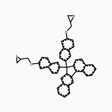 c1ccc2cc3c(cc2c1)-c1c(ccc2ccccc12)C3(c1ccc2cc(OCC3CS3)ccc2c1)c1ccc2cc(OCC3CS3)ccc2c1